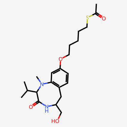 CC(=O)SCCCCCOc1ccc2c(c1)N(C)C(C(C)C)C(=O)NC(CO)C2